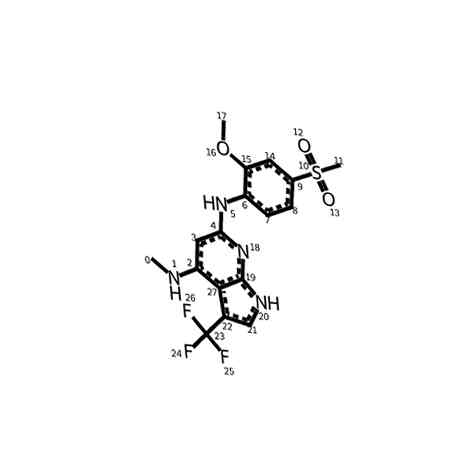 CNc1cc(Nc2ccc(S(C)(=O)=O)cc2OC)nc2[nH]cc(C(F)(F)F)c12